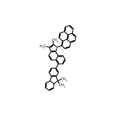 Cc1c(C)n(-c2ccc3ccc4cccc5ccc2c3c45)c2c1ccc1c(-c3ccc4c(c3)C(C)(C)C3C=CC=CC43)cccc12